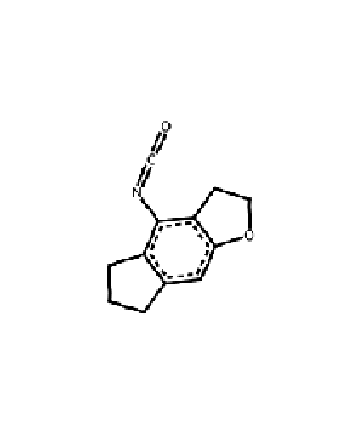 O=C=Nc1c2c(cc3c1CCO3)CCC2